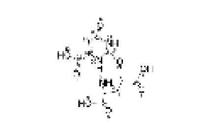 NC(CCC(=O)O)C(=O)O.O=C(O)c1cc(=O)[nH]c(=O)[nH]1